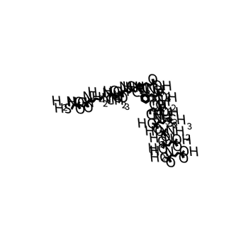 CC(C)C[C@H](N)C(=O)O.CC[C@H](C)[C@H](N)C(=O)O.CSCC[C@H](N)C(=O)O.C[C@H](N)C(=O)O.NCC(=O)O.NCCCC[C@H](N)C(=O)O.N[C@@H](CC(=O)O)C(=O)O.N[C@@H](CCC(=O)O)C(=O)O.N[C@@H](CS)C(=O)O.N[C@@H](Cc1c[nH]cn1)C(=O)O.N[C@@H](Cc1ccccc1)C(=O)O